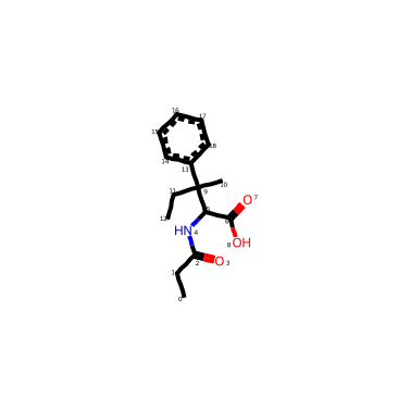 CCC(=O)NC(C(=O)O)C(C)(CC)c1ccccc1